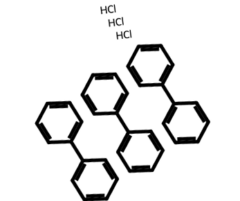 Cl.Cl.Cl.c1ccc(-c2ccccc2)cc1.c1ccc(-c2ccccc2)cc1.c1ccc(-c2ccccc2)cc1